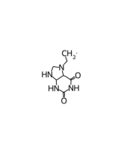 [CH2]CN1CNC2NC(=O)NC(=O)C21